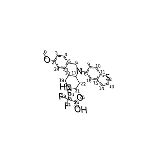 COc1ccc(CN(c2ccc3sccc3c2)C2CCNCC2)cc1.O=C(O)C(F)(F)F